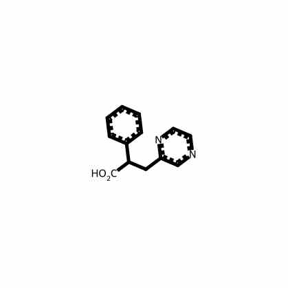 O=C(O)C(Cc1cnccn1)c1ccccc1